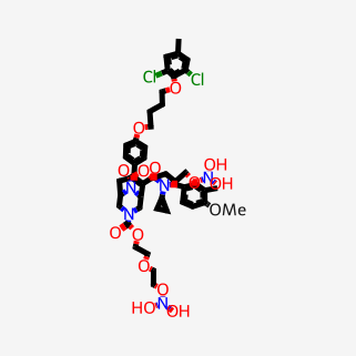 COc1ccc(CN(C(=O)C2=C(c3ccc(OCCCCOc4c(Cl)cc(C)cc4Cl)cc3)CC3CN(C(=O)OCCOCCON(O)O)CC2N3C(=O)OCCCCON(O)O)C2CC2)cc1C